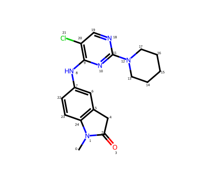 CN1C(=O)Cc2cc(Nc3nc(N4CCCCC4)ncc3Cl)ccc21